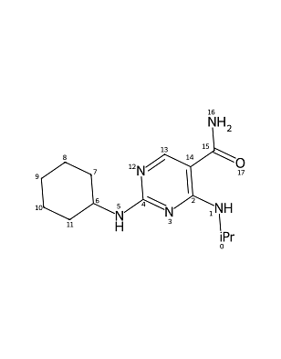 CC(C)Nc1nc(NC2CCCCC2)ncc1C(N)=O